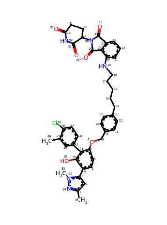 Cc1cc(-c2ccc(OCc3ccc(CCCCCNc4cccc5c4C(=O)N(C4CCC(=O)NC4=O)C5=O)cc3)c(-c3ccc(Cl)c(C)c3)c2O)n(C)n1